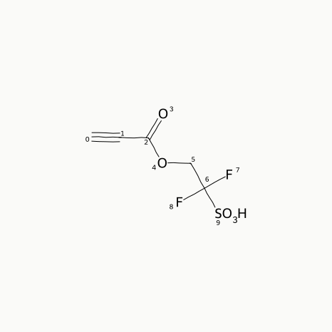 C#CC(=O)OCC(F)(F)S(=O)(=O)O